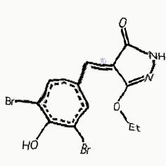 CCOC1=NNC(=O)/C1=C/c1cc(Br)c(O)c(Br)c1